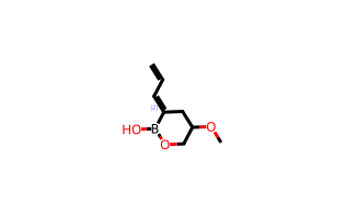 C=C/C=C1\CC(OC)COB1O